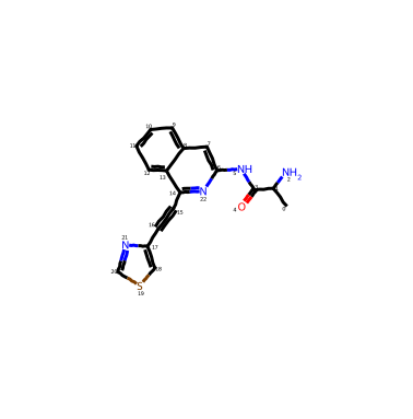 CC(N)C(=O)Nc1cc2ccccc2c(C#Cc2cscn2)n1